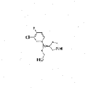 OCCN(c1ccc(F)c(Cl)c1)[C@H]1CCNC1